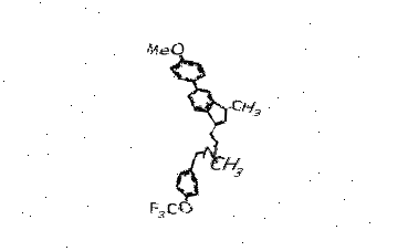 COc1ccc(-c2ccc3c(c2)[C@H](C)C[C@H]3CCN(C)Cc2ccc(OC(F)(F)F)cc2)cc1